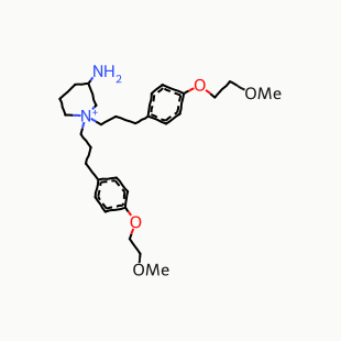 COCCOc1ccc(CCC[N+]2(CCCc3ccc(OCCOC)cc3)CCCC(N)C2)cc1